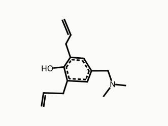 C=CCc1cc(CN(C)C)cc(CC=C)c1O